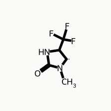 CN1[CH]C(C(F)(F)F)NC1=O